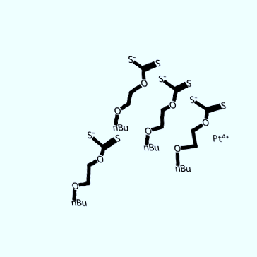 CCCCOCCOC(=S)[S-].CCCCOCCOC(=S)[S-].CCCCOCCOC(=S)[S-].CCCCOCCOC(=S)[S-].[Pt+4]